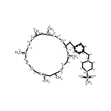 CC1CN(C)CCOCCN(C)CCOC(C)CN(C)CCOC(Cc2ccc(CN3CCN(S(C)(=O)=O)CC3)cc2)CN(C)CCO1